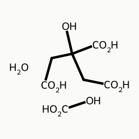 O.O=C(O)CC(O)(CC(=O)O)C(=O)O.O=C(O)O